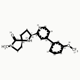 CN1CC[C@]2(CC[C@@H](c3cc(-c4cccc(OC(F)(F)F)c4)ccn3)N2)C1=O